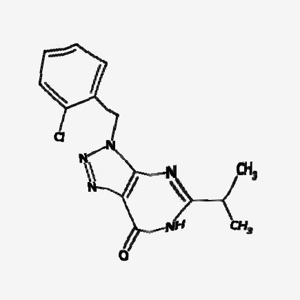 CC(C)c1nc2c(nnn2Cc2ccccc2Cl)c(=O)[nH]1